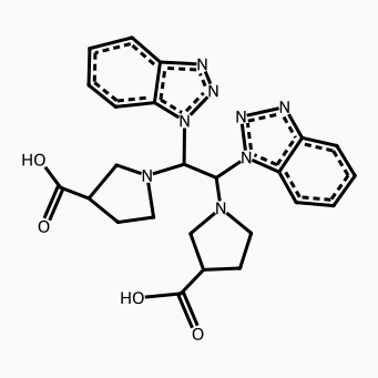 O=C(O)C1CCN(C(C(N2CCC(C(=O)O)C2)n2nnc3ccccc32)n2nnc3ccccc32)C1